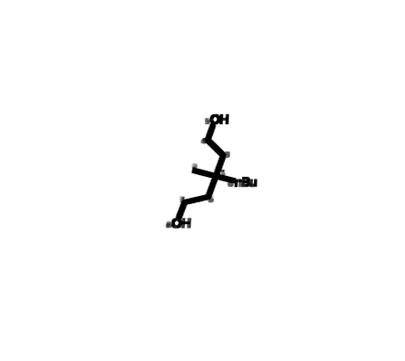 CCCCC(C)(CCO)CCO